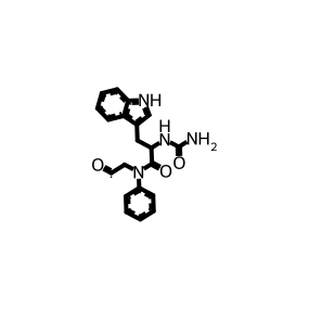 NC(=O)NC(Cc1c[nH]c2ccccc12)C(=O)N(C[C]=O)c1ccccc1